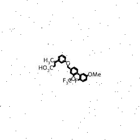 COc1ccc(F)c(-c2ccc(COc3cccc([C@@H](C)CC(=O)O)c3)cc2OC(F)(F)F)c1